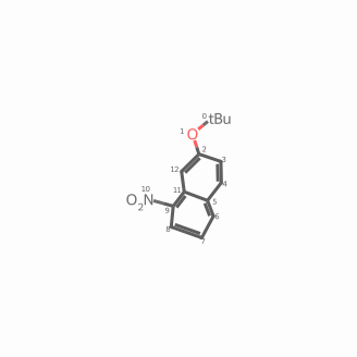 CC(C)(C)Oc1ccc2cccc([N+](=O)[O-])c2c1